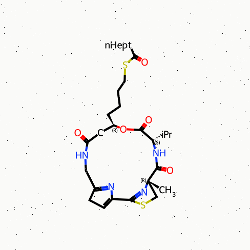 CCCCCCCC(=O)SCCCC[C@@H]1CC(=O)NCC2=NC(=CC2)C2=N[C@@](C)(CS2)C(=O)N[C@@H](C(C)C)C(=O)O1